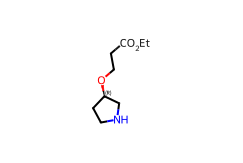 CCOC(=O)CCO[C@@H]1CCNC1